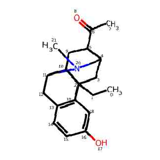 CCC12CC3C(C(C)=O)CC1C(Cc1ccc(O)cc12)N3C